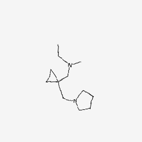 CCN(C)CC1(CN2CCCC2)CC1